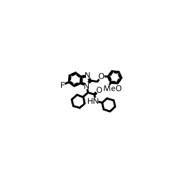 COc1ccccc1OCc1nc2ccc(F)cc2n1C(C(=O)NC1CCCCC1)C1CCCCC1